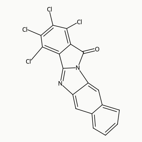 O=C1c2c(Cl)c(Cl)c(Cl)c(Cl)c2-c2nc3cc4ccccc4cc3n21